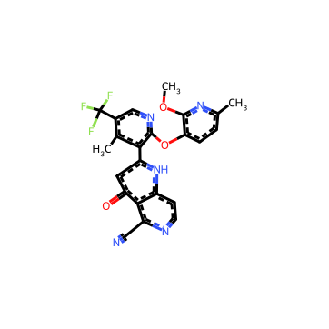 COc1nc(C)ccc1Oc1ncc(C(F)(F)F)c(C)c1-c1cc(=O)c2c(C#N)nccc2[nH]1